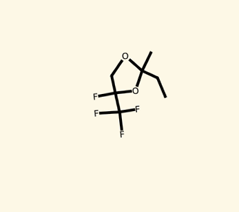 CCC1(C)OCC(F)(C(F)(F)F)O1